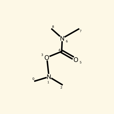 CN(C)OC(=O)N(C)C